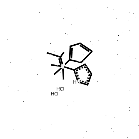 C[C](C)=[Ti]([CH3])([CH3])([CH3])([C]1=CC=CC1)[c]1ccc[nH]1.Cl.Cl